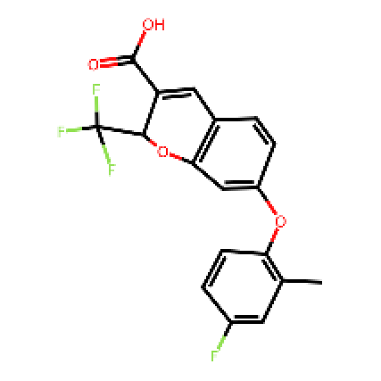 Cc1cc(F)ccc1Oc1ccc2c(c1)OC(C(F)(F)F)C(C(=O)O)=C2